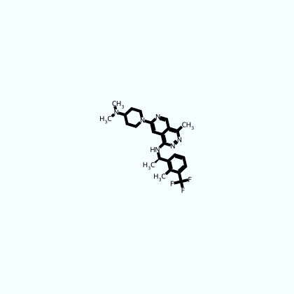 Cc1c([C@@H](C)Nc2nnc(C)c3cnc(N4CCC(N(C)C)CC4)cc23)cccc1C(F)(F)F